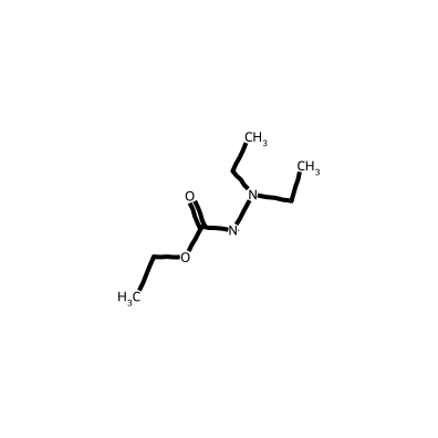 CCOC(=O)[N]N(CC)CC